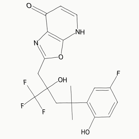 CC(C)(CC(O)(Cc1nc2c(=O)cc[nH]c2o1)C(F)(F)F)c1cc(F)ccc1O